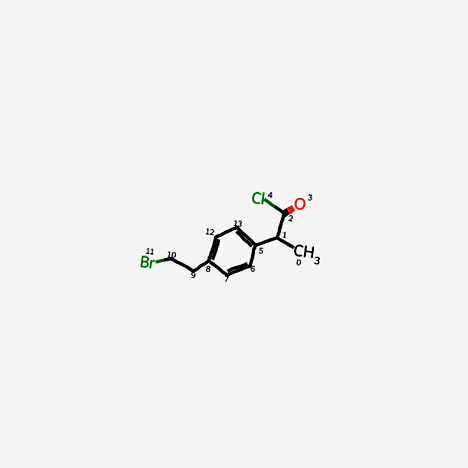 CC(C(=O)Cl)c1ccc(CCBr)cc1